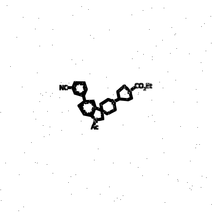 CCOC(=O)N1CCC(N2CCC3(CC2)CN(C(C)=O)c2ccc(-c4cccc(C#N)c4)cc23)CC1